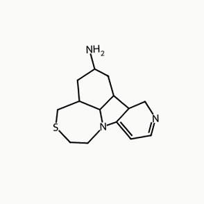 NC1CC2CSCCN3C4=CC=NCC4C(C1)C23